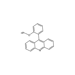 CCCOc1ccccc1-c1c2ccccc2nc2ccccc12